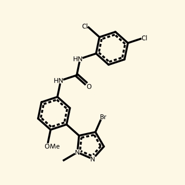 COc1ccc(NC(=O)Nc2ccc(Cl)cc2Cl)cc1-c1c(Br)cnn1C